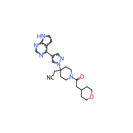 N#CCC1(n2cc(-c3ncnc4[nH]ccc34)cn2)CCN(C(=O)CC2CCOCC2)CC1